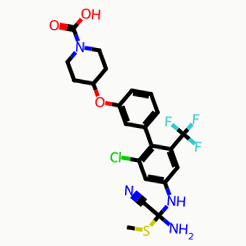 CSC(N)(C#N)Nc1cc(Cl)c(-c2cccc(OC3CCN(C(=O)O)CC3)c2)c(C(F)(F)F)c1